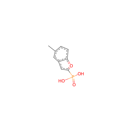 Cc1ccc2oc(P(=O)(O)O)cc2c1